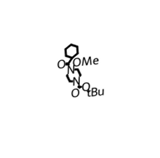 COC1(C(=O)N2CCN(C(=O)OC(C)(C)C)CC2)CCCCC1